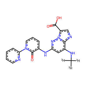 [2H]C([2H])([2H])Nc1cc(Nc2cccn(-c3ccccn3)c2=O)nn2c(C(=O)O)cnc12